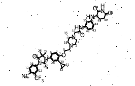 C[C@@H]1CN(CCOc2ccc(N3C(=S)N(c4ccc(C#N)c(C(F)(F)F)c4)C(=O)C3(C)C)cc2C2CC2)C[C@H](C)N1CC(=O)Nc1cccc(NC2CCC(=O)NC2=O)c1